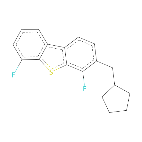 Fc1cccc2c1sc1c(F)c(CC3CCCC3)ccc12